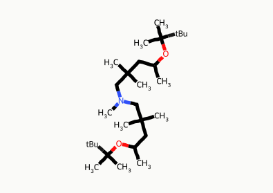 CC(CC(C)(C)CN(C)CC(C)(C)CC(C)OC(C)(C)C(C)(C)C)OC(C)(C)C(C)(C)C